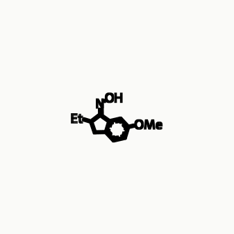 CCC1Cc2ccc(OC)cc2C1=NO